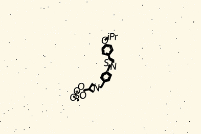 CC(C)Oc1ccc(-c2cnc(-c3ccc(CN4CC(C(=O)OS(C)(=O)=O)C4)cc3)s2)cc1